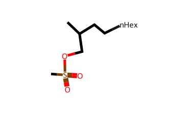 CCCCCCCCC(C)COS(C)(=O)=O